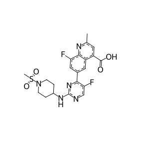 Cc1cc(C(=O)O)c2cc(-c3nc(NC4CCN(S(C)(=O)=O)CC4)ncc3F)cc(F)c2n1